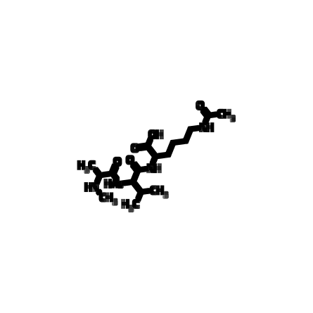 CNC(C)C(=O)[AsH]C(C(=O)NC(CCCCNC(C)=O)C(=O)O)C(C)C